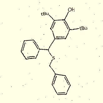 CC(C)(C)c1cc(C(SCc2ccccc2)c2ccccc2)cc(C(C)(C)C)c1O